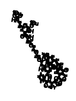 CC(C)C(NC(=O)C1CCCN1C(=O)C(CC(=O)O)NC(=O)CCOCCOCCOCCNC(=O)[C@H](CCCCNC(=O)OC(C)(C)C)NC(=O)OC(C)(C)C)C(=O)OC1C(=O)OCc2c1cc1n(c2=O)Cc2cc3cc4c(cc3nc2-1)OCO4